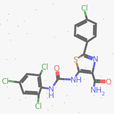 NC(=O)c1nc(-c2ccc(Cl)cc2)sc1NC(=O)Nc1c(Cl)cc(Cl)cc1Cl